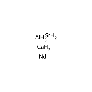 [AlH3].[CaH2].[Nd].[SrH2]